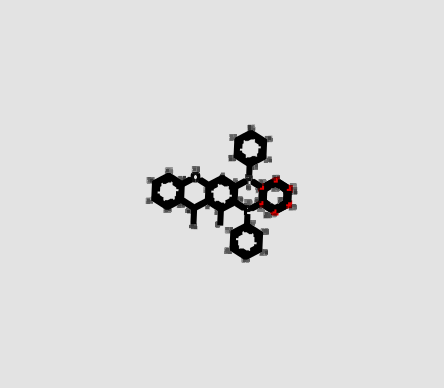 Cc1c2c(cc(P(c3ccccc3)c3ccccc3)c1P(c1ccccc1)c1ccccc1)Oc1ccccc1C2C